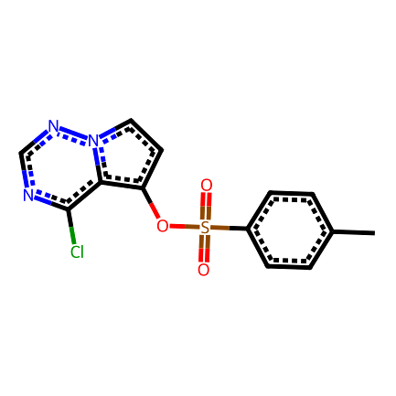 Cc1ccc(S(=O)(=O)Oc2ccn3ncnc(Cl)c23)cc1